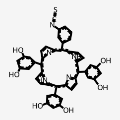 Oc1cc(O)cc(-c2c3nc(c(-c4cc(O)cc(O)c4)c4ccc([nH]4)c(-c4cccc(N=C=S)c4)c4nc(c(-c5cc(O)cc(O)c5)c5ccc2[nH]5)C=C4)C=C3)c1